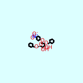 O=[N+]([O-])c1ccc(O[C@@H]2O[C@H](COCc3ccccc3)[C@H](O)[C@H](O)[C@H]2OCc2ccccc2)cc1